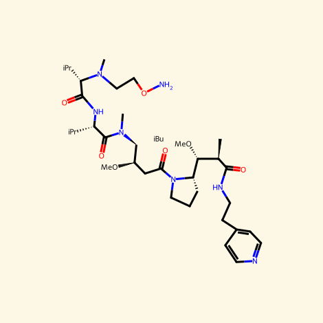 CC[C@H](C)[C@@H]([C@@H](CC(=O)N1CCC[C@H]1[C@H](OC)[C@@H](C)C(=O)NCCc1ccncc1)OC)N(C)C(=O)[C@@H](NC(=O)[C@H](C(C)C)N(C)CCON)C(C)C